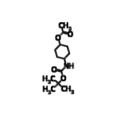 CC(=O)OC1CCC(NC(=O)OC(C)(C)C)CC1